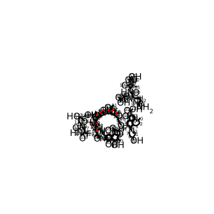 CC1CCc2c(N3CCC(O)CC3)c(F)cc3c(=O)c(C(=O)O)cn1c23.CO[C@H]1/C=C/O[C@@]2(C)Oc3c(C)c(O)c4c(O)c(c(/C=N/N5CCN(C)CC5)c(O)c4c3C2=O)NC(=O)/C(C)=C\C=C\[C@H](C)[C@H](O)[C@@H](C)[C@@H](O)[C@@H](C)[C@H](OC(C)=O)[C@@H]1C.C[C@H]1[C@H](NC(=O)/C(=N\OC(C)(C)C(=O)O)c2csc(N)n2)C(=O)N1S(=O)(=O)O.O=c1[nH]c(=O)n([C@H]2C[C@H](O)[C@@H](CO)O2)cc1F